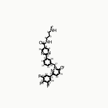 CNCCCNC(=O)c1cnc(-c2cccc(Cn3nc(-c4cc(F)c(F)c(F)c4)ccc3=O)c2)nc1